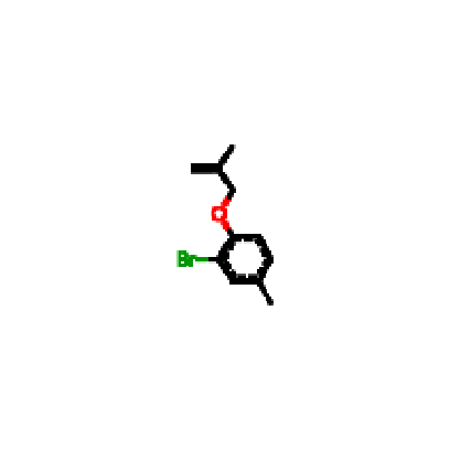 C=C(C)COc1ccc(C)cc1Br